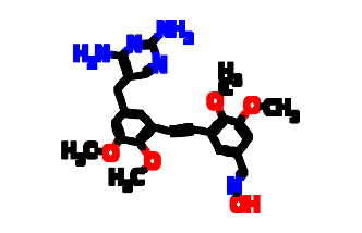 COc1cc(/C=N/O)cc(C#Cc2cc(Cc3cnc(N)nc3N)cc(OC)c2OC)c1OC